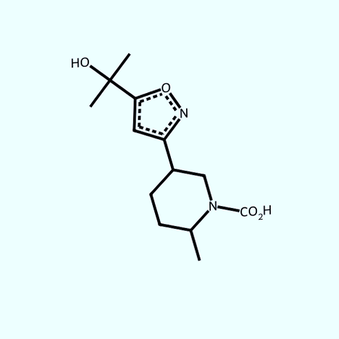 CC1CCC(c2cc(C(C)(C)O)on2)CN1C(=O)O